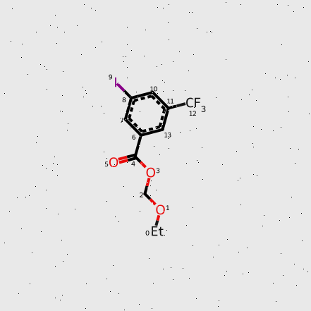 CCOCOC(=O)c1cc(I)cc(C(F)(F)F)c1